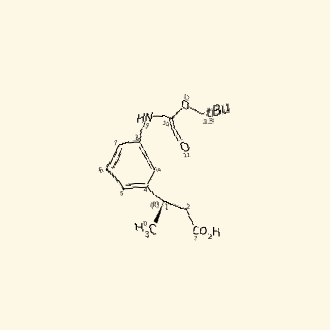 C[C@H](CC(=O)O)c1cccc(NC(=O)OC(C)(C)C)c1